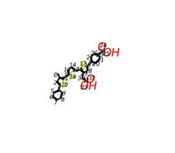 Cc1cc(-c2ccccc2)sc1-c1ccc(-c2sc(-c3ccc(C(=O)O)cc3)cc2CC(=O)O)s1